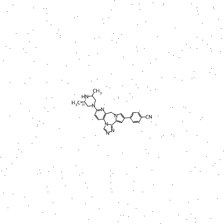 CC1CN(c2ccc3c(n2)Cn2cc(-c4ccc(C#N)cc4)cc2-c2nncn2-3)C[C@@H](C)N1